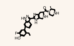 CCc1cc(O)c(F)cc1-c1ccc2c(-c3nc4c([nH]3)CN[C@H](C(=O)N3CCNC[C@@H]3C)C4)n[nH]c2c1